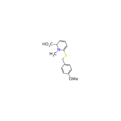 COc1ccc(CSC2=CC=CC(C(=O)O)N2C)cc1